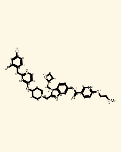 COCCOc1ccc(C(=O)Nc2ccc3c(c2)nc(CN2CCC(Oc4ccnc(Cc5ccc(Cl)cc5F)n4)CC2)n3C[C@@H]2CCO2)cn1